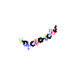 CCCC(C)(C)OC(=O)N1CCc2nc(-c3ccc(S(=O)(=O)N4CCC(Nc5ccc(C(F)(F)F)cn5)CC4)cc3)sc2C1